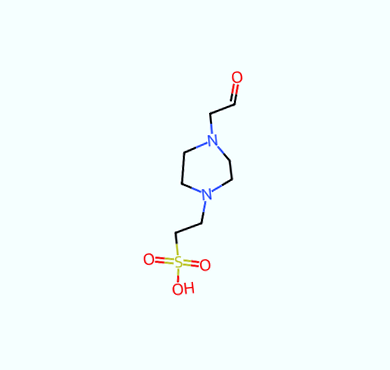 O=CCN1CCN(CCS(=O)(=O)O)CC1